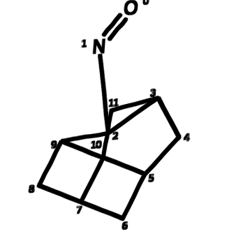 O=NC1C2CC3CC4CC1C34C2